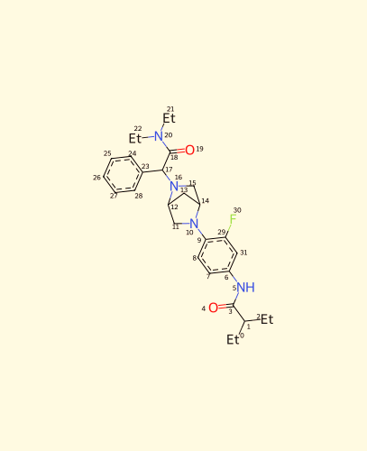 CCC(CC)C(=O)Nc1ccc(N2CC3CC2CN3C(C(=O)N(CC)CC)c2ccccc2)c(F)c1